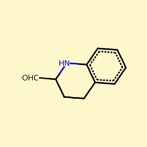 O=[C]C1CCc2ccccc2N1